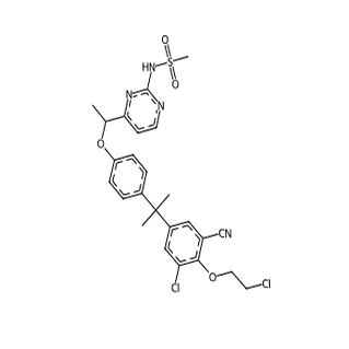 CC(Oc1ccc(C(C)(C)c2cc(Cl)c(OCCCl)c(C#N)c2)cc1)c1ccnc(NS(C)(=O)=O)n1